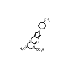 C[C@H]1C[C@@H](Cc2cn([C@H]3CC[C@H](C)CC3)cn2)C(=O)N(C(=O)O)C1